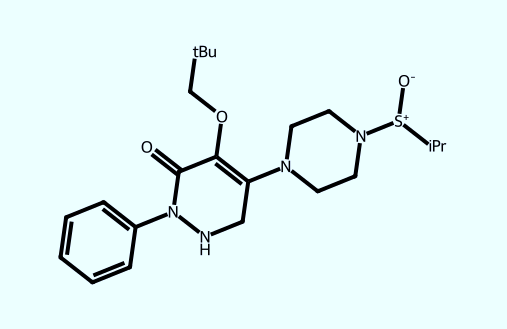 CC(C)[S+]([O-])N1CCN(C2=C(OCC(C)(C)C)C(=O)N(c3ccccc3)NC2)CC1